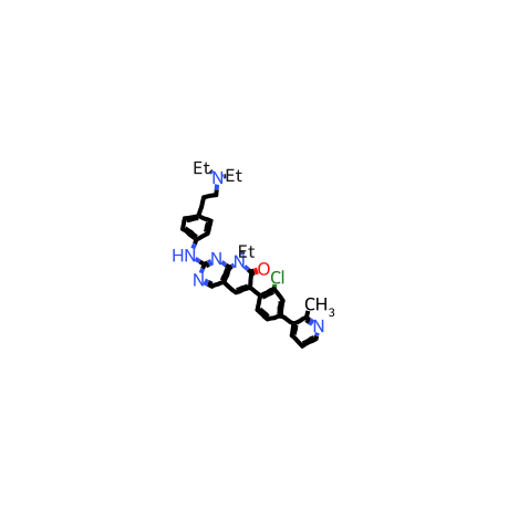 CCN(CC)CCc1ccc(Nc2ncc3cc(-c4ccc(-c5cccnc5C)cc4Cl)c(=O)n(CC)c3n2)cc1